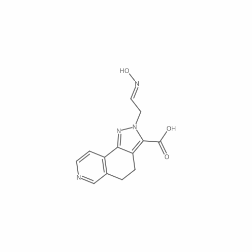 O=C(O)c1c2c(nn1CC=NO)-c1ccncc1CC2